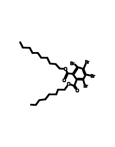 CCCCCCCCCCOC(=O)c1c(Br)c(Br)c(Br)c(Br)c1C(=O)OCCCCCCCC